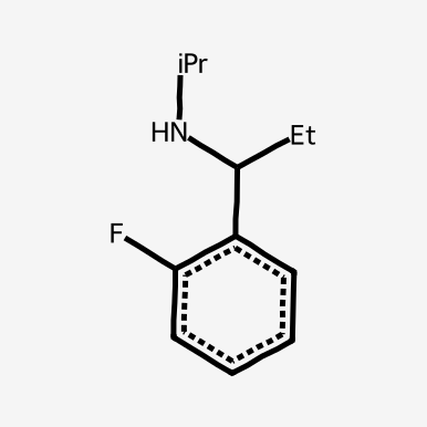 CCC(NC(C)C)c1ccccc1F